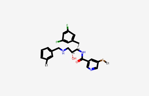 CCSc1cncc(C(=O)N[C@@H](Cc2cc(F)cc(F)c2)[C@H](O)CNCc2cccc(CC)c2)c1